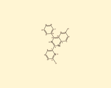 Cc1ccc2nc(-c3cccc(C)n3)nc(-c3ccccc3)c2c1